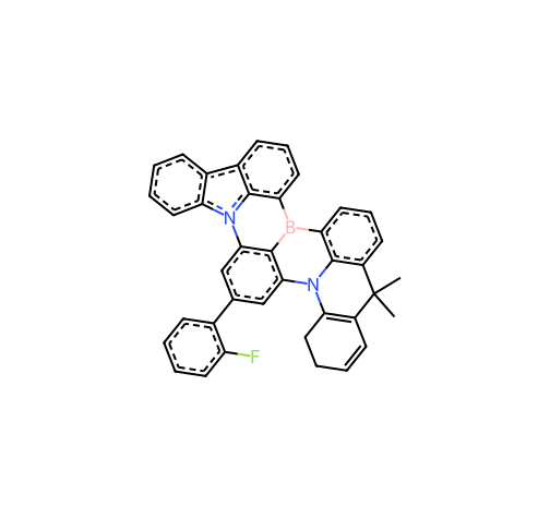 CC1(C)C2=C(CCC=C2)N2c3cc(-c4ccccc4F)cc4c3B(c3cccc1c32)c1cccc2c3ccccc3n-4c12